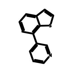 [c]1ccc2ccsc2c1-c1cccnc1